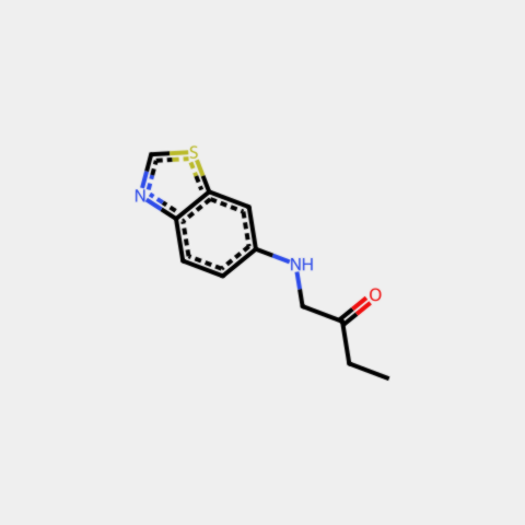 CCC(=O)CNc1ccc2ncsc2c1